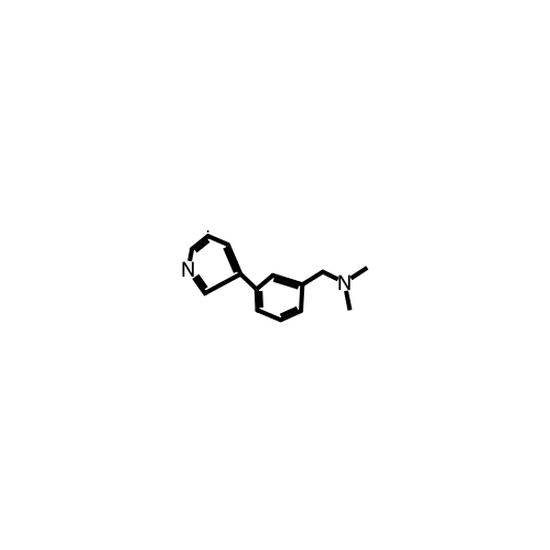 CN(C)Cc1cccc(-c2c[c]cnc2)c1